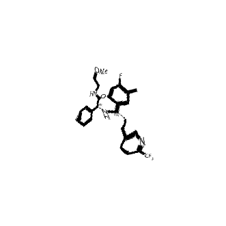 COCCNC(=O)[C@H](N[C@@H](CCc1ccc(C(F)(F)F)nc1)c1ccc(F)c(C)c1)c1ccccc1